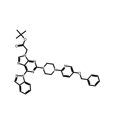 CC(C)(C)OC(=O)Cn1cnc2c(-n3ncc4ccccc43)nc(N3CCN(c4ccc(OCc5ccccc5)cn4)CC3)nc21